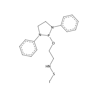 ISNCCOP1N(c2ccccc2)CCN1c1ccccc1